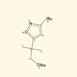 COCC(C)(C)c1cc(C(C)(C)C)no1